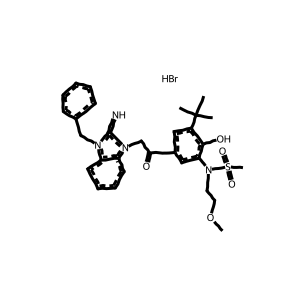 Br.COCCN(c1cc(C(=O)Cn2c(=N)n(Cc3ccccc3)c3ccccc32)cc(C(C)(C)C)c1O)S(C)(=O)=O